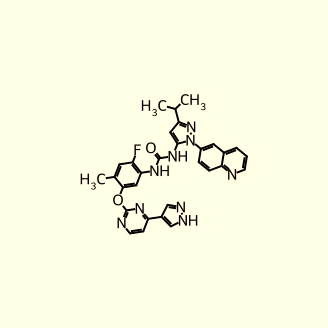 Cc1cc(F)c(NC(=O)Nc2cc(C(C)C)nn2-c2ccc3ncccc3c2)cc1Oc1nccc(-c2cn[nH]c2)n1